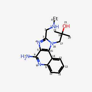 CCNCc1nc2c(N)nc3ccccc3c2n1CC(C)(C)O